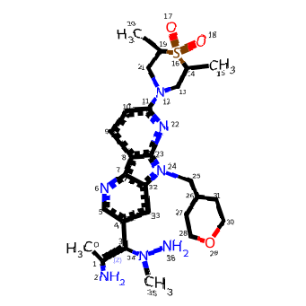 C/C(N)=C(\c1cnc2c3ccc(N4CC(C)S(=O)(=O)C(C)C4)nc3n(CC3CCOCC3)c2c1)N(C)N